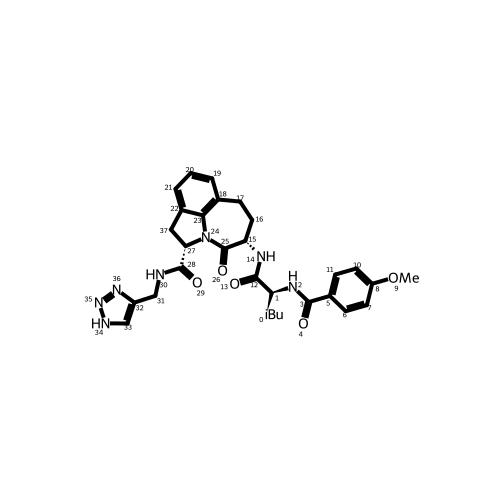 CC[C@H](C)[C@H](NC(=O)c1ccc(OC)cc1)C(=O)N[C@H]1CCc2cccc3c2N(C1=O)[C@H](C(=O)NCc1c[nH]nn1)C3